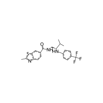 Cc1nc2ccc(C(=O)NC[C@H](Nc3ccc(C(F)(F)F)cc3)C(C)C)cc2s1